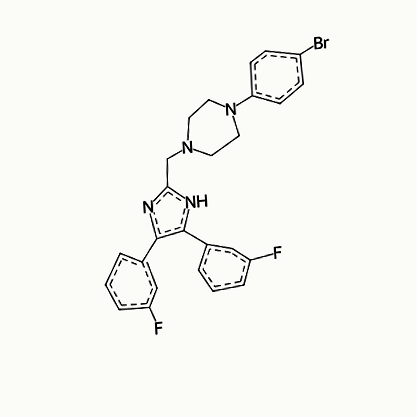 Fc1cccc(-c2nc(CN3CCN(c4ccc(Br)cc4)CC3)[nH]c2-c2cccc(F)c2)c1